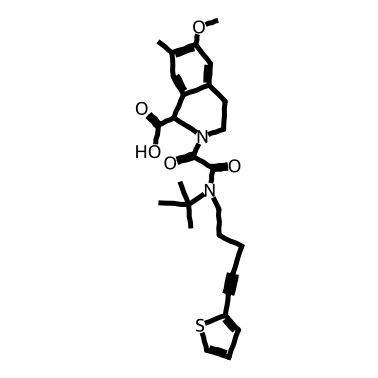 COc1cc2c(cc1C)C(C(=O)O)N(C(=O)C(=O)N(CCCC#Cc1cccs1)C(C)(C)C)CC2